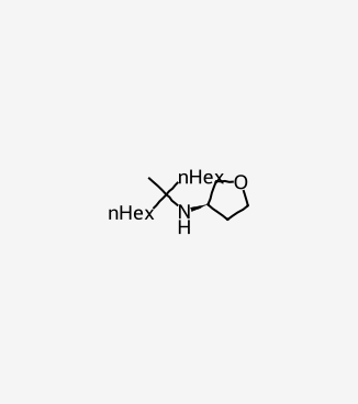 CCCCCCC(C)(CCCCCC)N[C@@H]1CCOC1